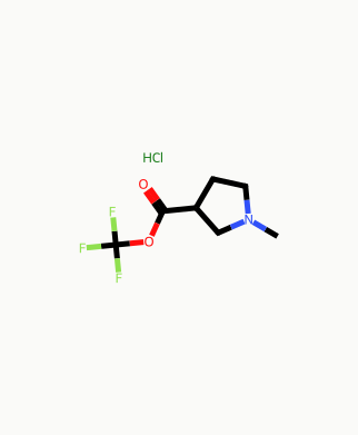 CN1CCC(C(=O)OC(F)(F)F)C1.Cl